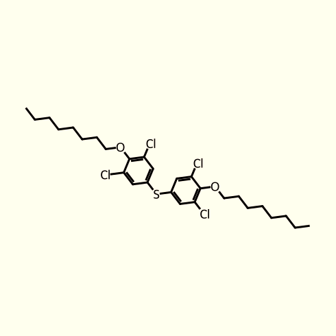 CCCCCCCCOc1c(Cl)cc(Sc2cc(Cl)c(OCCCCCCCC)c(Cl)c2)cc1Cl